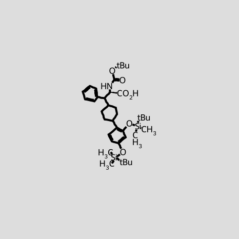 CC(C)(C)OC(=O)N[C@@H](C(=O)O)C(c1ccccc1)C1CCC(c2ccc(O[Si](C)(C)C(C)(C)C)cc2O[Si](C)(C)C(C)(C)C)CC1